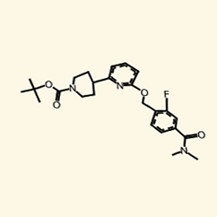 CN(C)C(=O)c1ccc(COc2cccc(C3CCN(C(=O)OC(C)(C)C)CC3)n2)c(F)c1